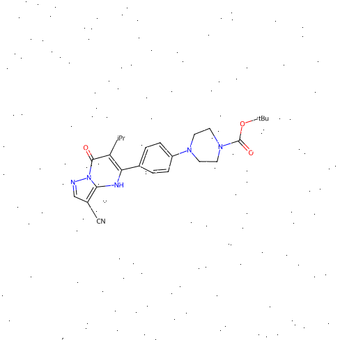 CC(C)c1c(-c2ccc(N3CCN(C(=O)OC(C)(C)C)CC3)cc2)[nH]c2c(C#N)cnn2c1=O